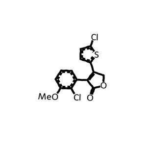 COc1cccc(C2=C(c3ccc(Cl)s3)COC2=O)c1Cl